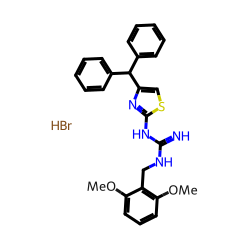 Br.COc1cccc(OC)c1CNC(=N)Nc1nc(C(c2ccccc2)c2ccccc2)cs1